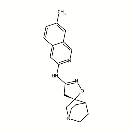 Cc1ccc2cc(NC3=NO[C@@]4(C3)CN3CCC4CC3)ncc2c1